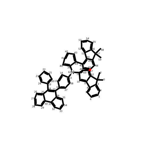 CC1(C)c2ccccc2-c2cc(N(c3ccc(-c4c(-c5ccccc5)c5ccccc5c5ccccc45)cc3)c3ccccc3-c3cccc4c3-c3ccccc3C4(C)C)ccc21